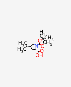 CC(C)[C@@H]1C[C@@H](C(=O)O)N(C(=O)OC(C)(C)C)C1